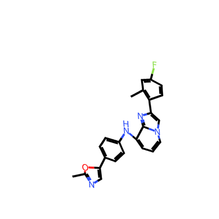 Cc1ncc(-c2ccc(Nc3cccn4cc(-c5ccc(F)cc5C)nc34)cc2)o1